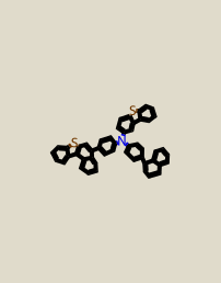 c1ccc2c(-c3ccc(N(c4ccc(-c5cc6sc7ccccc7c6c6ccccc56)cc4)c4ccc5sc6ccccc6c5c4)cc3)cccc2c1